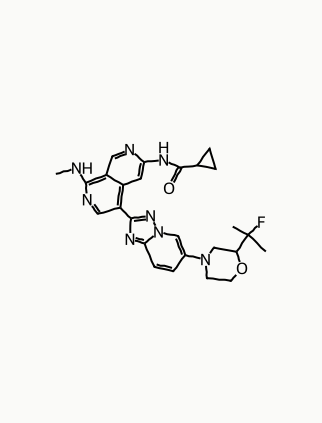 CNc1ncc(-c2nc3ccc(N4CCOC(C(C)(C)F)C4)cn3n2)c2cc(NC(=O)C3CC3)ncc12